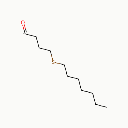 CCCCCCCSCCC[C]=O